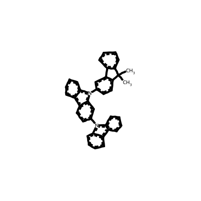 CC1(C)c2ccccc2-c2cc(-n3c4ccccc4c4ccc(-n5c6ccccc6c6ccccc65)cc43)ccc21